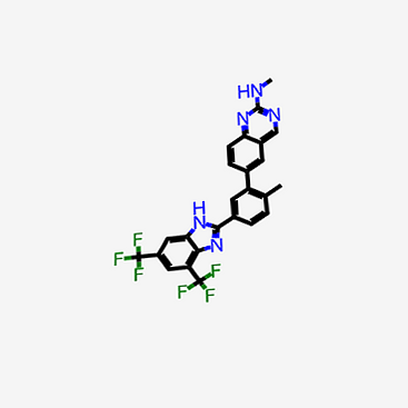 CNc1ncc2cc(-c3cc(-c4nc5c(C(F)(F)F)cc(C(F)(F)F)cc5[nH]4)ccc3C)ccc2n1